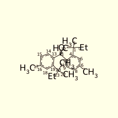 CCC(C)(C)c1cc(C)ccc1C(=O)c1ccc(C)cc1C(C)(C)CC